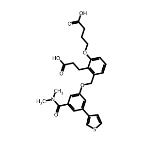 CN(C)C(=O)c1cc(OCc2cccc(OCCCC(=O)O)c2CCC(=O)O)cc(-c2ccsc2)c1